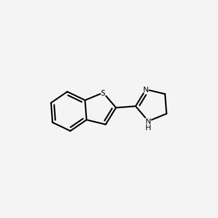 c1ccc2sc(C3=NCCN3)cc2c1